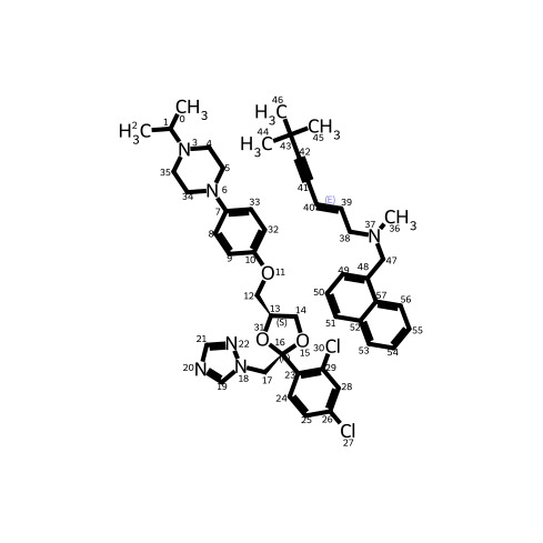 CC(C)N1CCN(c2ccc(OC[C@H]3CO[C@](Cn4cncn4)(c4ccc(Cl)cc4Cl)O3)cc2)CC1.CN(C/C=C/C#CC(C)(C)C)Cc1cccc2ccccc12